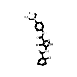 CCN(CC)c1ccc(NC(=O)c2n[nH]c(NC(=O)c3ccccc3Cl)c2Br)cc1